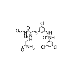 N[C@@H](C=O)CCC(=O)N[C@H](CSc1cc(Cl)cc(NC(=O)Nc2cc(Cl)cc(Cl)c2)c1)C(=O)NCC=O